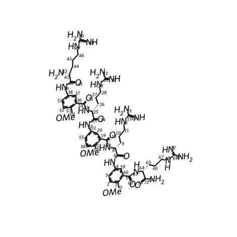 COc1ccc(NC(=O)[C@@H](CCCNC(=N)N)NC(=O)c2cc(NC(=O)[C@@H](CCCNC(=N)N)NC(=O)c3cc(NC(=O)[C@H](N)CCCNC(=N)N)ccc3OC)ccc2OC)cc1C(=O)N[C@H](CCCNC(=N)N)C(N)=O